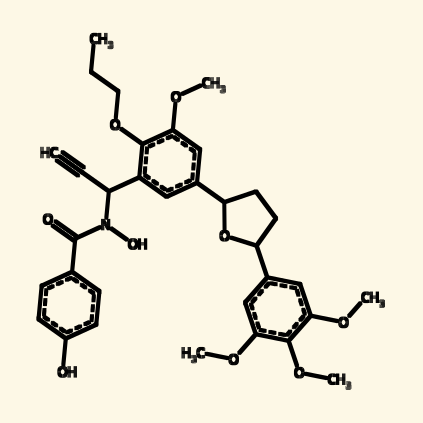 C#CC(c1cc(C2CCC(c3cc(OC)c(OC)c(OC)c3)O2)cc(OC)c1OCCC)N(O)C(=O)c1ccc(O)cc1